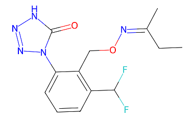 CCC(C)=NOCc1c(C(F)F)cccc1-n1nn[nH]c1=O